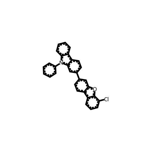 Clc1cccc2c1oc1cc(-c3ccc4c5ccccc5n(-c5ccccc5)c4c3)ccc12